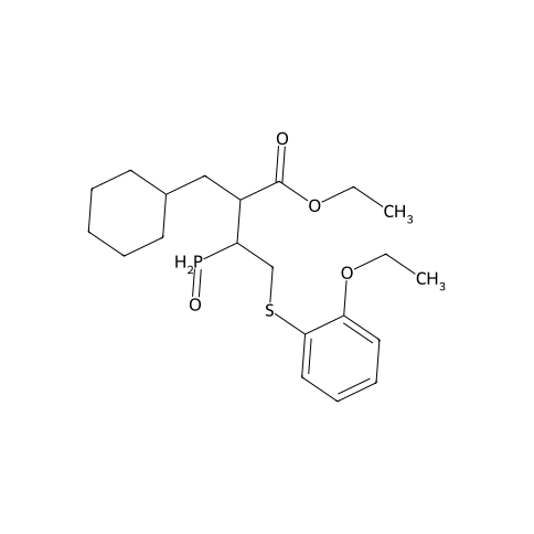 CCOC(=O)C(CC1CCCCC1)C(CSc1ccccc1OCC)[PH2]=O